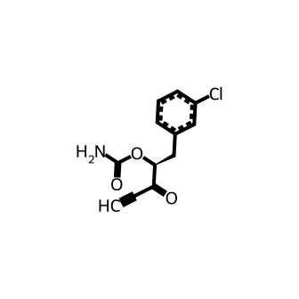 C#CC(=O)[C@H](Cc1cccc(Cl)c1)OC(N)=O